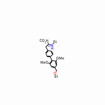 CCN[C@@H](Cc1ccc(-c2c(OC)cc(COCC)cc2OC)cc1)C(=O)O